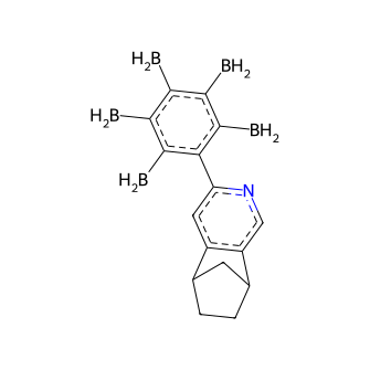 Bc1c(B)c(B)c(-c2cc3c(cn2)C2CCC3C2)c(B)c1B